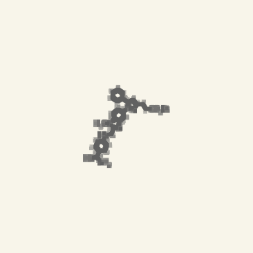 CCOC(=O)CCc1cc(-c2ccccc2)n(-c2ccc3c(c2)nc(CNc2ccc(C(=N)N)cc2)n3C)n1